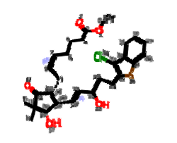 CC(C)OC(=O)CCC/C=C\C[C@H]1C(=O)C(C)(C)[C@@H](O)[C@@H]1/C=C/C(O)CCc1sc2ccccc2c1Cl